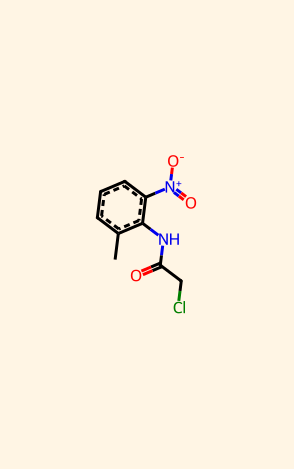 Cc1cccc([N+](=O)[O-])c1NC(=O)CCl